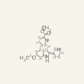 CCOc1ccc2c(Cc3cccc(C(=O)OC)n3)c(-c3cccnc3)[nH]c2c1